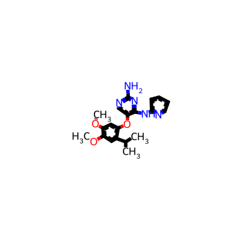 COc1cc(Oc2cnc(N)nc2Nc2ccccn2)c(C(C)C)cc1OC